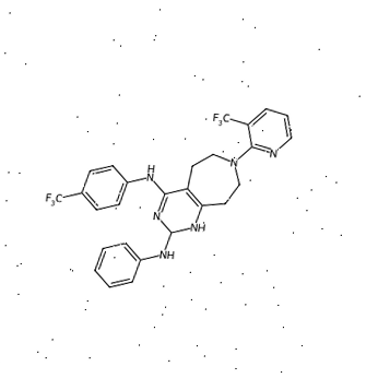 FC(F)(F)c1ccc(NC2=NC(Nc3ccccc3)NC3=C2CCN(c2ncccc2C(F)(F)F)CC3)cc1